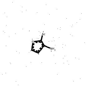 CC(=O)c1occc1N